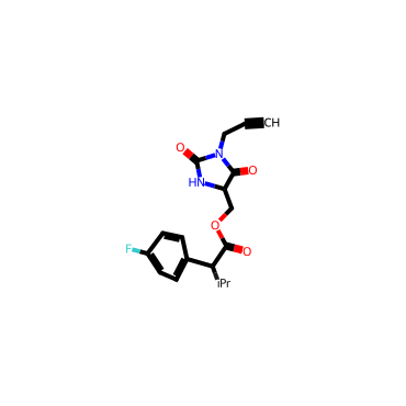 C#CCN1C(=O)NC(COC(=O)C(c2ccc(F)cc2)C(C)C)C1=O